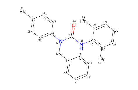 CCc1ccc(N(Cc2ccccc2)C(=O)Nc2c(C(C)C)cccc2C(C)C)cc1